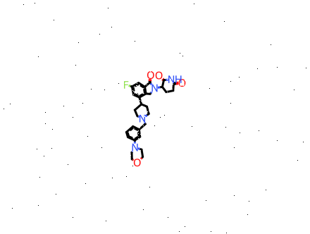 O=C1CCC(N2Cc3c(cc(F)cc3C3CCN(Cc4cccc(N5CCOCC5)c4)CC3)C2=O)C(=O)N1